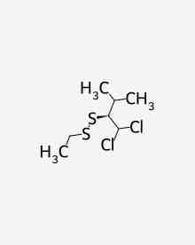 CCSS[C@@H](C(C)C)C(Cl)Cl